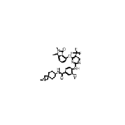 COc1cc(C(=O)NC2CCC3(CC2)CN(C)C3)ccc1Nc1ncc(C(F)(F)F)c(Oc2cccc3c2C(=O)N(C)C3C)n1